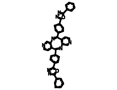 c1ccc(-c2nnc(-c3ccc(/C4=N/c5cnccc5/C(c5ccc(-c6nnc(-c7ccccc7)o6)cc5)=N\c5cnccc54)cc3)o2)cc1